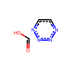 O=CO.c1cnnnn1